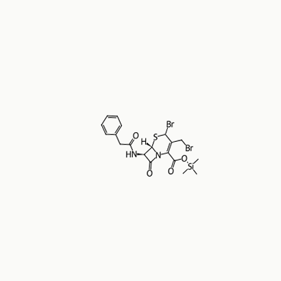 C[Si](C)(C)OC(=O)C1=C(CBr)C(Br)S[C@H]2[C@H](NC(=O)Cc3ccccc3)C(=O)N12